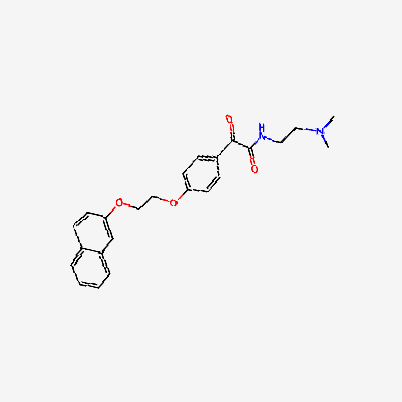 CN(C)CCNC(=O)C(=O)c1ccc(OCCOc2ccc3ccccc3c2)cc1